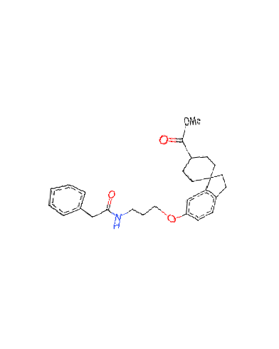 COC(=O)C1CCC2(CCc3ccc(OCCCNC(=O)Cc4ccccc4)cc32)CC1